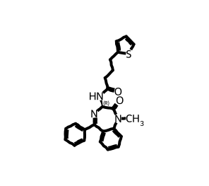 CN1C(=O)[C@H](NC(=O)CCCc2cccs2)N=C(c2ccccc2)c2ccccc21